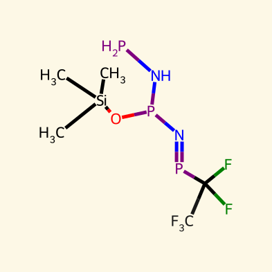 C[Si](C)(C)OP(N=PC(F)(F)C(F)(F)F)NP